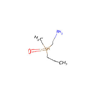 CC[SH](C)(=O)CN